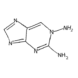 Nc1nc2ncnc-2cn1N